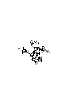 COCOCc1cc(N2C[C@@H](C)n3c(c(CCCOc4cc(C)c(Cl)c(C)c4)c4ccc(Cl)c(-c5c(C)nn(C)c5C)c43)C2=O)c2[nH]c(C(=O)OC)cc2c1